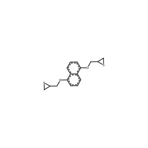 c1cc(OCC2CS2)c2cccc(OCC3CS3)c2c1